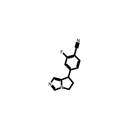 N#Cc1ccc(C2CCn3cncc32)cc1F